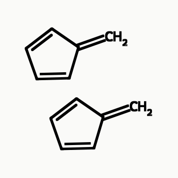 C=C1C=CC=C1.C=C1C=CC=C1